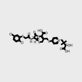 CC(C)(C[n+]1ccc(SCC2=C(C(=O)O)N3C(=O)[C@H](NC(=O)CSc4cc(Cl)ccc4Cl)[C@H]3SC2)cc1)[C@H](O)C(=O)O